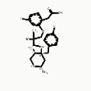 C[C@@H]1CN[C@@H](C)C[C@@]1(Cc1ccc(Cl)cc1)NCC(C)(O)COc1cc(F)ccc1CC(=O)O